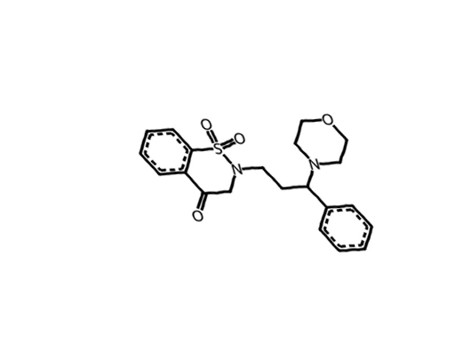 O=C1CN(CCC(c2ccccc2)N2CCOCC2)S(=O)(=O)c2ccccc21